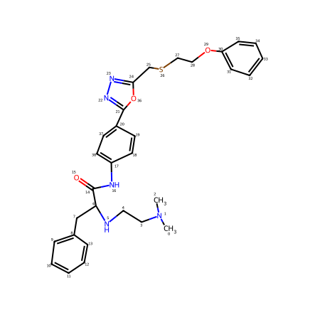 CN(C)CCNC(Cc1ccccc1)C(=O)Nc1ccc(-c2nnc(CSCCOc3ccccc3)o2)cc1